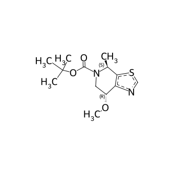 CO[C@@H]1CN(C(=O)OC(C)(C)C)[C@@H](C)c2scnc21